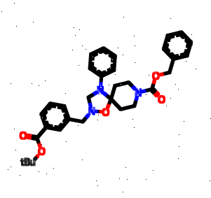 CC(C)(C)OC(=O)c1cccc(CN2CN(c3ccccc3)C3(CCN(C(=O)OCc4ccccc4)CC3)O2)c1